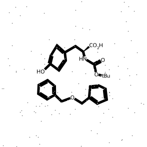 CC(C)(C)OC(=O)N[C@@H](Cc1ccc(O)cc1)C(=O)O.c1ccc(COCc2ccccc2)cc1